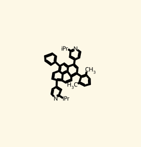 Cc1cccc(C)c1-c1cc(-c2ccnc(C(C)C)c2)c2cc(-c3ccccc3)c3ccc(-c4ccnc(C(C)C)c4)c4ccc1c2c43